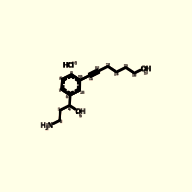 Cl.NCCC(O)c1cccc(C#CCCCCO)c1